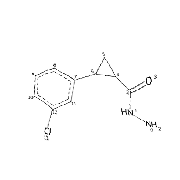 NNC(=O)C1CC1c1cccc(Cl)c1